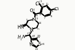 N=C1CN(C(=O)c2ccc(Cl)cc2Cl)CCN1C(N)c1cscn1